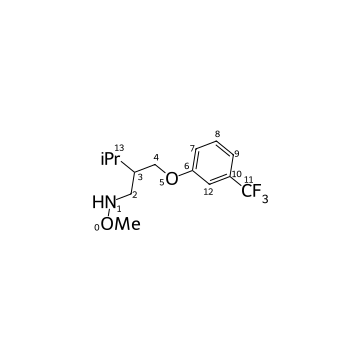 CONCC(COc1cccc(C(F)(F)F)c1)C(C)C